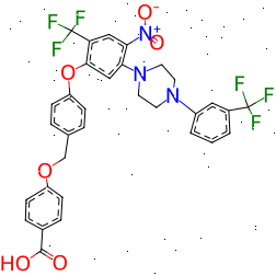 O=C(O)c1ccc(OCc2ccc(Oc3cc(N4CCN(c5cccc(C(F)(F)F)c5)CC4)c([N+](=O)[O-])cc3C(F)(F)F)cc2)cc1